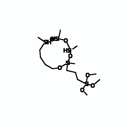 CO[Si](CCC[Si]1(C)OCCCC[SiH](C)O[SiH](C)O[SiH](C)O1)(OC)OC